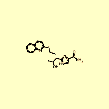 C[C@H](O)[C@H](CCSc1ccc2ccccc2n1)c1nc(C(N)=O)c[nH]1